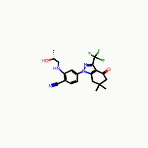 C[C@@H](O)CNc1cc(-n2nc(C(F)(F)F)c3c2CC(C)(C)CC3=O)ccc1C#N